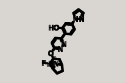 Oc1cc(-n2cccn2)ccc1-c1ccc(O[C@H]2CC3CCC(N3)[C@H]2F)nn1